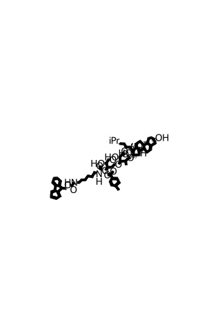 Cc1ccc(C(=O)OC2C(OC3C(O)COC(O[C@H]4C[C@H]5[C@@H]6CC=C7C[C@@H](O)CC[C@]7(C)C6CC[C@]5(C)[C@@]4(O)[C@H](C)C(=O)CCC(C)C)C3C)OCC(O)C2OC(=O)NCCCCCCNC(=O)OCC2c3ccccc3-c3ccccc32)cc1